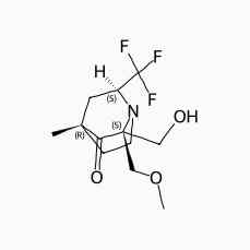 COC[C@@]1(CO)C(=O)[C@]2(C)CCN1[C@H](C(F)(F)F)C2